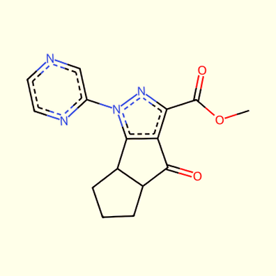 COC(=O)c1nn(-c2cnccn2)c2c1C(=O)C1CCCC21